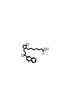 O=C(O)CCCCCCC1C(=O)CCC1/C=C/C(=O)c1ccc2ccccc2c1